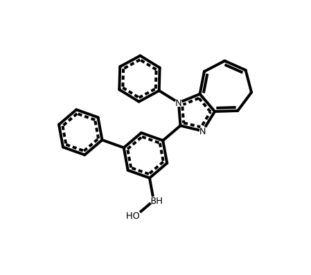 OBc1cc(-c2ccccc2)cc(-c2nc3c(n2-c2ccccc2)=CC=CCC=3)c1